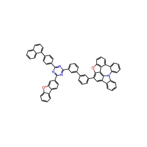 c1cc(-c2cccc(-c3cc4c5ccccc5n5c6ccccc6c6cccc7oc3c(c76)c45)c2)cc(-c2nc(-c3ccc(-c4cccc5ccccc45)cc3)nc(-c3ccc4c(c3)oc3ccccc34)n2)c1